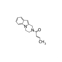 C/C=C/C(=O)N1CCn2c(cc3ccccc32)C1